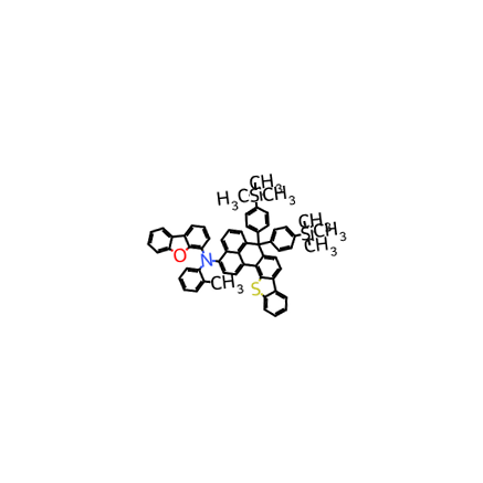 Cc1ccccc1N(c1ccc2c3c(cccc13)C(c1ccc([Si](C)(C)C)cc1)(c1ccc([Si](C)(C)C)cc1)c1ccc3c(sc4ccccc43)c1-2)c1cccc2c1oc1ccccc12